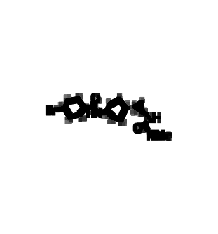 CNC(=O)N[C@@H]1C[C@H]1c1ccc(NC(=O)c2ccc(Br)cc2)cc1